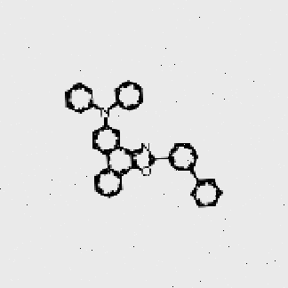 c1ccc(-c2cccc(-c3nc4c5cc(N(c6ccccc6)c6ccccc6)ccc5c5ccccc5c4o3)c2)cc1